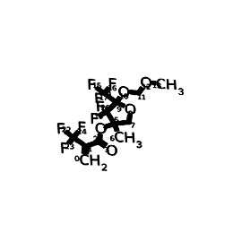 C=C(C(=O)OC1(C)COC(OCOC)(C(F)(F)F)C1(F)F)C(F)(F)F